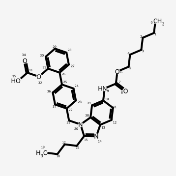 CCCCCCOC(=O)Nc1ccc2nc(CCCC)n(Cc3ccc(-c4ccccc4OC(=O)O)cc3)c2c1